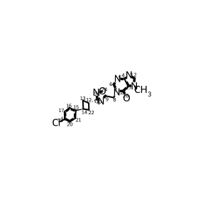 Cn1cnc2ncn(Cc3nc([C@H]4C[C@H](c5ccc(Cl)cc5)C4)no3)c(=O)c21